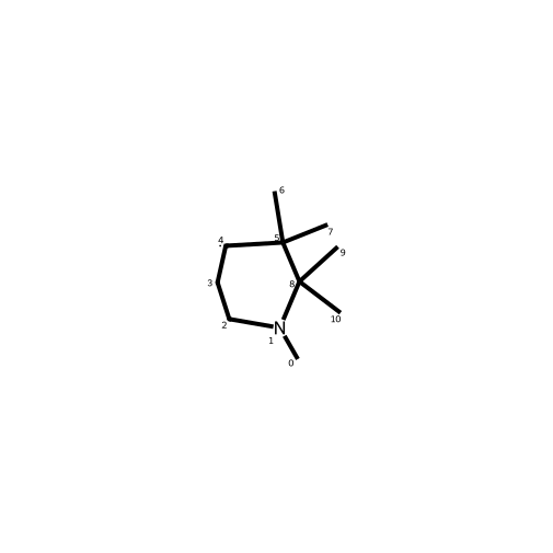 CN1CC[CH]C(C)(C)C1(C)C